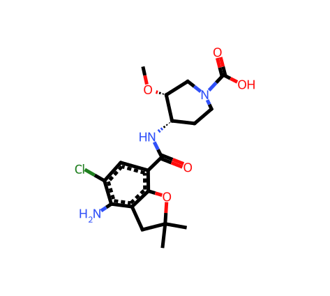 CO[C@@H]1CN(C(=O)O)CC[C@@H]1NC(=O)c1cc(Cl)c(N)c2c1OC(C)(C)C2